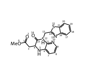 COC(=O)CC1Nc2cccnc2[SH](Cc2nc3ccccc3s2)C1=O